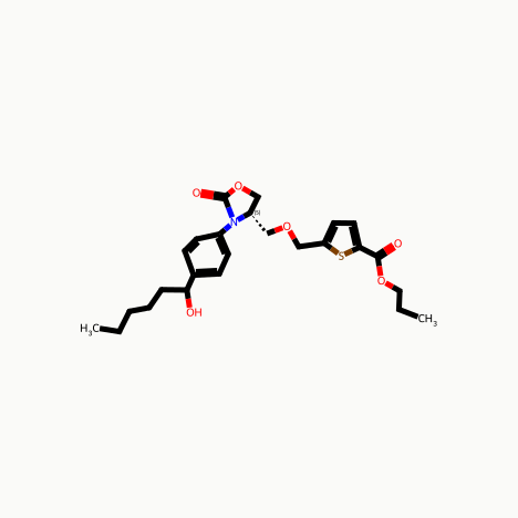 CCCCCC(O)c1ccc(N2C(=O)OC[C@@H]2COCc2ccc(C(=O)OCCC)s2)cc1